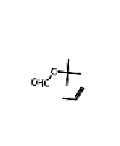 C=CC.CC(C)(C)OC=O